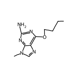 CCCCOc1nc(N)nc2c1ncn2C